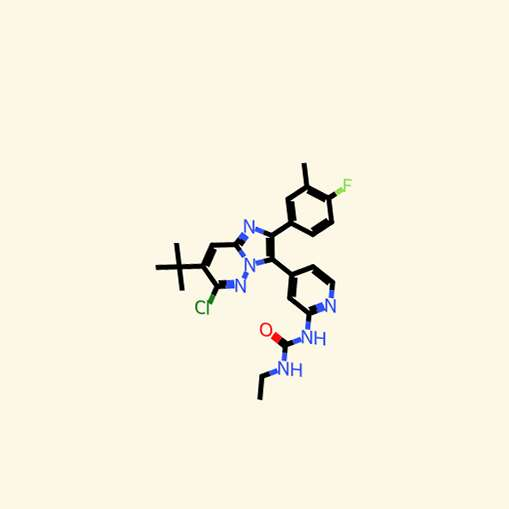 CCNC(=O)Nc1cc(-c2c(-c3ccc(F)c(C)c3)nc3cc(C(C)(C)C)c(Cl)nn23)ccn1